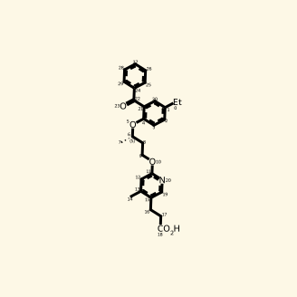 CCc1ccc(O[C@@H](C)CCOc2cc(C)c(CCC(=O)O)cn2)c(C(=O)c2ccccc2)c1